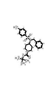 Cc1ccc(S(=O)(=O)N(Cc2ccccc2)C2CCN(C(=O)OC(C)(C)C)CC2)cc1